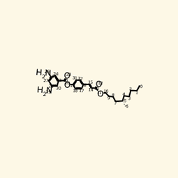 CCCCC[C@H](C)CCCCOC(=O)/C=C/c1ccc(OC(=O)c2cc(N)cc(N)c2)cc1